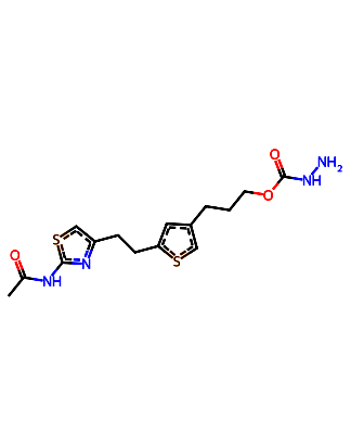 CC(=O)Nc1nc(CCc2cc(CCCOC(=O)NN)cs2)cs1